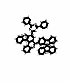 c1ccc(-c2nc(-c3ccccc3)nc(-c3cc4c(-c5ccc6c(c5)C5(c7ccccc7-c7ccccc75)c5ccccc5-6)nc5ccccc5c4c4c3sc3ccccc34)n2)cc1